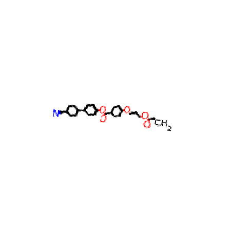 C=CC(=O)OCCCOC1CCC(C(=O)OC2CCC(C3CCC(C#N)CC3)CC2)CC1